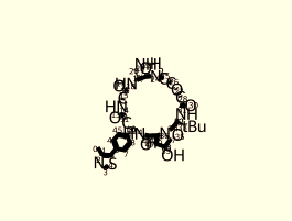 Cc1ncsc1-c1ccc([C@@H]2CC(=O)NCC(=O)N[C@H](CN)C(=O)NCCOCC(=O)N[C@@H](C(C)(C)C)C(=O)N3C[C@H](O)C[C@H]3C(=O)N2)cc1